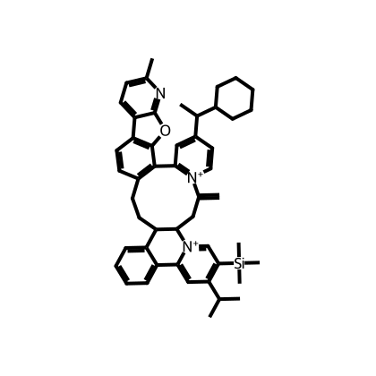 C=C1CC2C(CCc3ccc4c(oc5nc(C)ccc54)c3-c3cc(C(C)C4CCCCC4)cc[n+]31)c1ccccc1-c1cc(C(C)C)c([Si](C)(C)C)c[n+]12